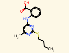 CCCCSc1nc(C)cc(Nc2ccccc2C(=O)O)n1